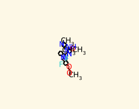 COCCOc1cc(F)c(Cn2nc(-c3ncc(OC)c(Nc4cc(C)ncc4C)n3)c3ccccc32)c(F)c1